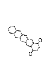 O=C1C=CC(=O)c2cc3cc4cc5ccccc5cc4cc3cc21